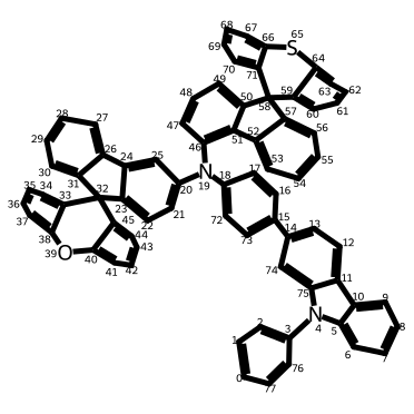 c1ccc(-n2c3ccccc3c3ccc(-c4ccc(N(c5ccc6c(c5)-c5ccccc5C65c6ccccc6Oc6ccccc65)c5cccc6c5-c5ccccc5C65c6ccccc6Sc6ccccc65)cc4)cc32)cc1